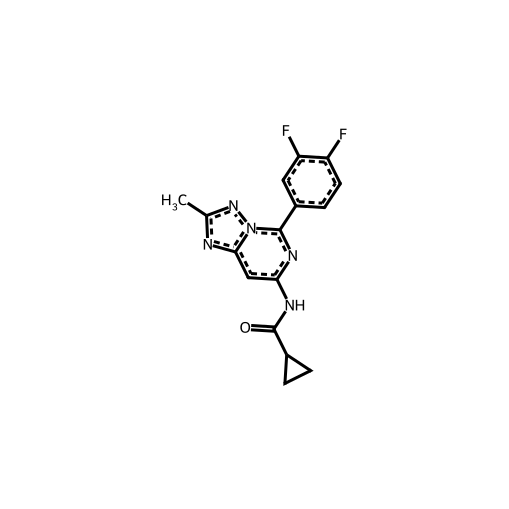 Cc1nc2cc(NC(=O)C3CC3)nc(-c3ccc(F)c(F)c3)n2n1